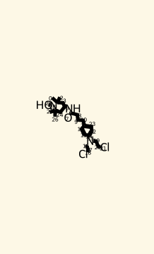 CC1(C)CC(NC(=O)CCCc2ccc(N(CCCl)CCCl)cc2)CC(C)(C)N1O